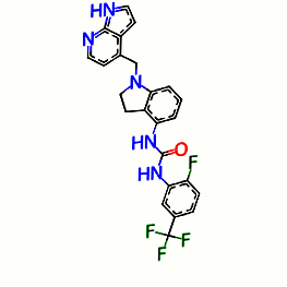 O=C(Nc1cc(C(F)(F)F)ccc1F)Nc1cccc2c1CCN2Cc1ccnc2[nH]ccc12